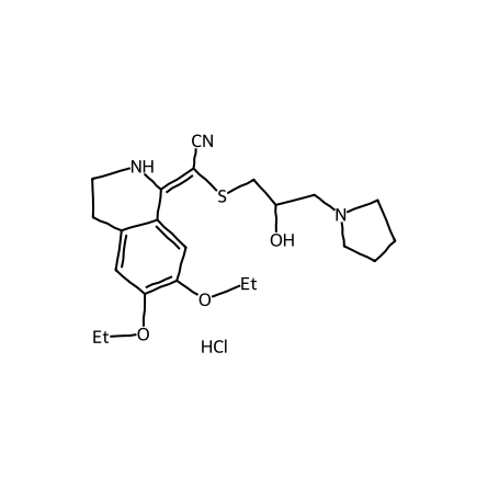 CCOc1cc2c(cc1OCC)C(=C(C#N)SCC(O)CN1CCCC1)NCC2.Cl